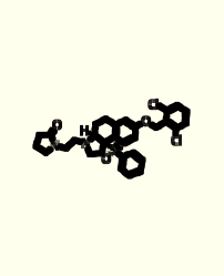 O=C1CCCN1CCN1CC[C@@]2(S(=O)(=O)c3ccccc3)c3ccc(OCc4c(Cl)cccc4Cl)cc3CC[C@@H]12